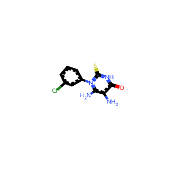 Nc1c(N)n(-c2cccc(Cl)c2)c(=S)[nH]c1=O